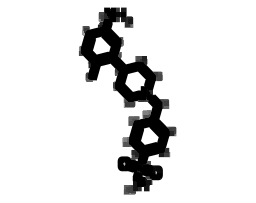 Cc1ccc(N)cc1C1CCN(Cc2ccc(S(=O)(=O)C(C)C)cc2)CC1